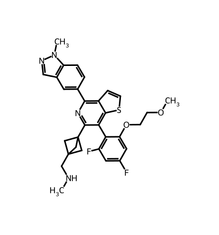 CNCC12CC(c3nc(-c4ccc5c(cnn5C)c4)c4ccsc4c3-c3c(F)cc(F)cc3OCCOC)(C1)C2